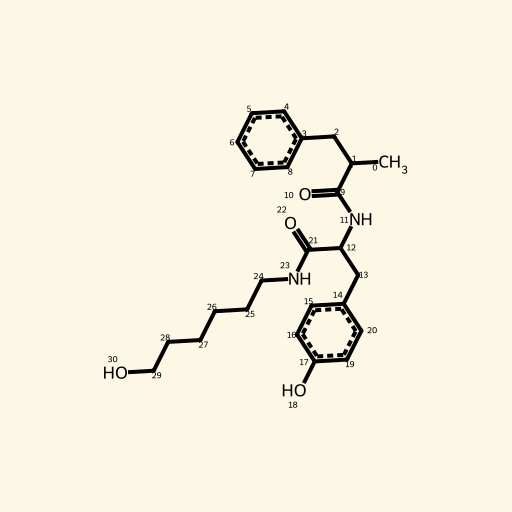 C[C](Cc1ccccc1)C(=O)NC(Cc1ccc(O)cc1)C(=O)NCCCCCCO